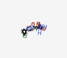 CC(C)[C@@]1(CCC(=O)N2CCN(c3cccc(Cl)c3)CC2)NC(=O)NC1=O